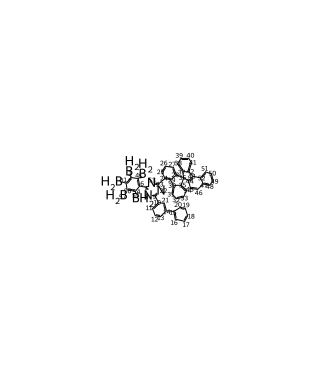 Bc1c(B)c(B)c(-c2nc(-c3cccc(-c4ccccc4)c3)nc(-c3cccc4c3-c3ccccc3C43c4ccccc4-c4c3ccc3ccccc43)n2)c(B)c1B